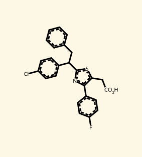 O=C(O)Cc1sc(C(Cc2ccccc2)c2ccc(Cl)cc2)nc1-c1ccc(F)cc1